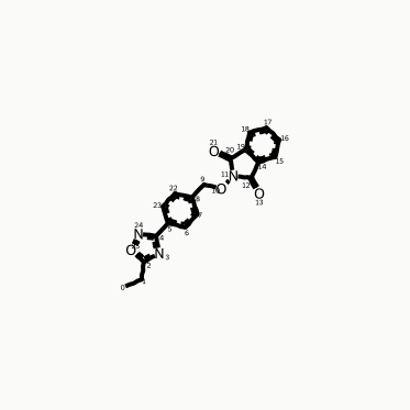 CCc1nc(-c2ccc(CON3C(=O)c4ccccc4C3=O)cc2)no1